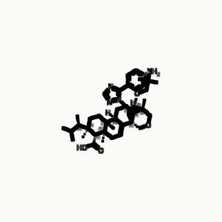 CC(C)[C@@H](C)[C@@]1(C)CC[C@]2(C)[C@H]3CC[C@@H]4[C@@]5(COC[C@@]4(C)[C@@H](OCC(C)(C)N)[C@H](n4ncnc4-c4ccncc4)C5)C3=CC[C@@]2(C)[C@@H]1C(=O)O